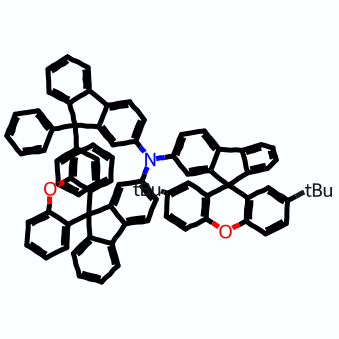 CC(C)(C)c1ccc2c(c1)C1(c3cc(C(C)(C)C)ccc3O2)c2ccccc2-c2ccc(N(c3ccc4c(c3)C(c3ccccc3)(c3ccccc3)c3ccccc3-4)c3ccc4c(c3)C3(c5ccccc5Oc5ccccc53)c3ccccc3-4)cc21